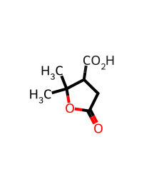 CC1(C)OC(=O)CC1C(=O)O